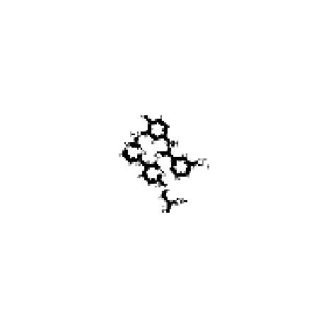 Cc1ccc(NC(=O)c2cccc(C(F)(F)F)c2)cc1Nc1nccc(-c2ccc(SCC(C)O)nc2)n1